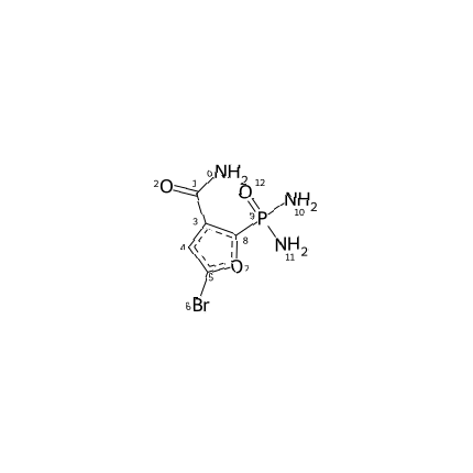 NC(=O)c1cc(Br)oc1P(N)(N)=O